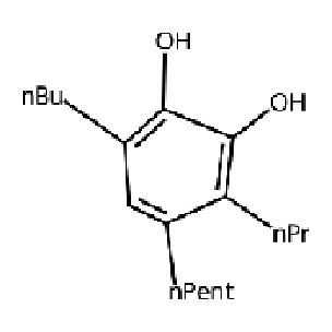 CCCCCc1cc(CCCC)c(O)c(O)c1CCC